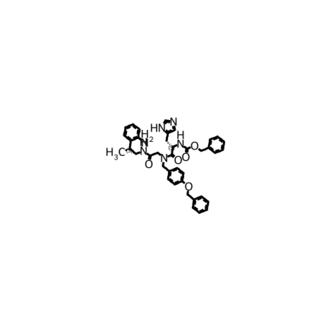 C[C@H](CNC(=O)CN(Cc1ccc(OCc2ccccc2)cc1)C(=O)[C@H](Cc1cnc[nH]1)NC(=O)OCc1ccccc1)c1ccccc1N